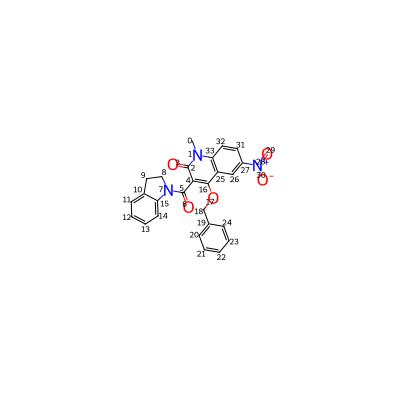 Cn1c(=O)c(C(=O)N2CCc3ccccc32)c(OCc2ccccc2)c2cc([N+](=O)[O-])ccc21